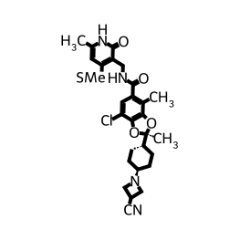 CSc1cc(C)[nH]c(=O)c1CNC(=O)c1cc(Cl)c2c(c1C)O[C@@](C)([C@H]1CC[C@H](N3CC(C#N)C3)CC1)O2